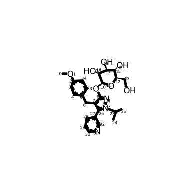 COc1ccc(Cc2c(O[C@@H]3O[C@H](CO)[C@@H](O)[C@H](O)[C@H]3O)nn(C(C)C)c2-c2cccnc2)cc1